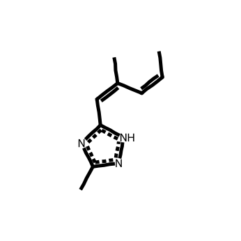 C/C=C\C(C)=C/c1nc(C)n[nH]1